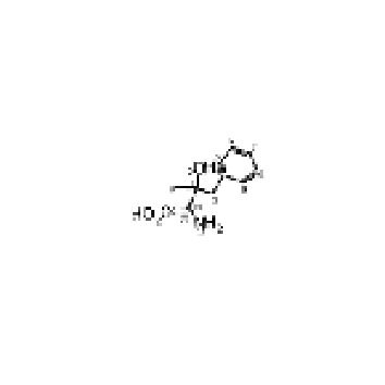 CC(O)(Cc1ccccc1)[C@H](N)C(=O)O